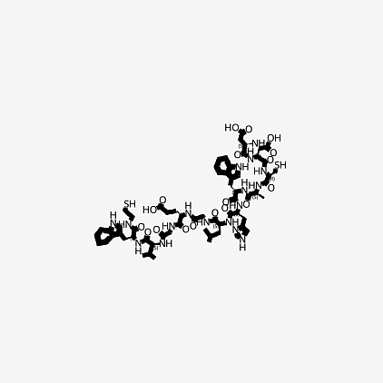 CC(C)C[C@H](NC(=O)[C@H](Cc1c[nH]cn1)NC(=O)[C@H](Cc1c[nH]c2ccccc12)NC(=O)[C@H](C)NC(=O)[C@H](CS)NC(=O)[C@H](CC(=O)O)NC(=O)[C@@H](N)CC(=O)O)C(=O)NCC(=O)N[C@@H](CCC(=O)O)C(=O)NCC(=O)N[C@H](C(=O)N[C@@H](Cc1c[nH]c2ccccc12)C(=O)NCCS)C(C)C